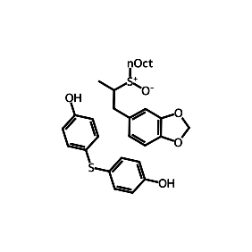 CCCCCCCC[S+]([O-])C(C)Cc1ccc2c(c1)OCO2.Oc1ccc(Sc2ccc(O)cc2)cc1